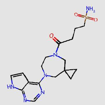 NS(=O)(=O)CCCC(=O)N1CCN(c2ncnc3[nH]ccc23)CC2(CC2)C1